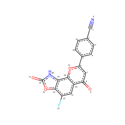 N#Cc1ccc(-c2cc(=O)c3cc(F)c4oc(=O)[nH]c4c3o2)cc1